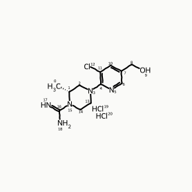 C[C@@H]1CN(c2ncc(CO)cc2Cl)CCN1C(=N)N.Cl.Cl